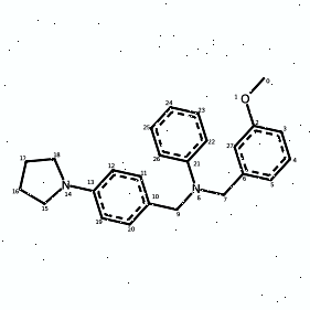 COc1cccc(CN(Cc2ccc(N3CCCC3)cc2)c2ccccc2)c1